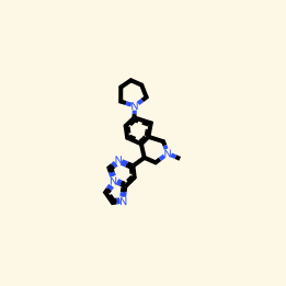 CN1Cc2cc(N3CCCCC3)ccc2C(c2cc3nccn3cn2)C1